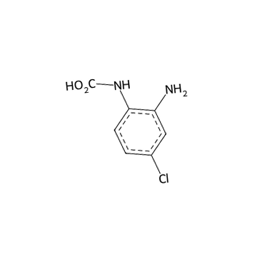 Nc1cc(Cl)ccc1NC(=O)O